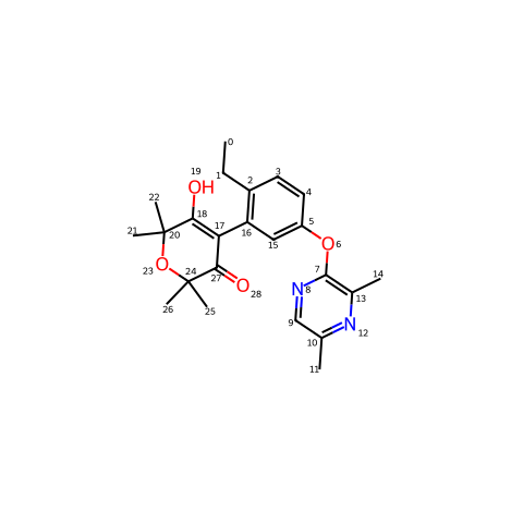 CCc1ccc(Oc2ncc(C)nc2C)cc1C1=C(O)C(C)(C)OC(C)(C)C1=O